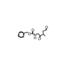 CC(CC=O)C(=O)CNC(=O)OCc1ccccc1